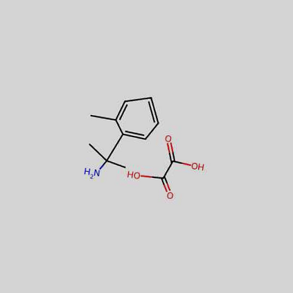 Cc1ccccc1C(C)(C)N.O=C(O)C(=O)O